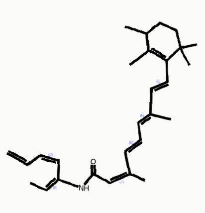 C=C/C=C\C(=C/C)NC(=O)\C=C(C)/C=C/C=C(C)/C=C/C1=C(C)C(C)CCC1(C)C